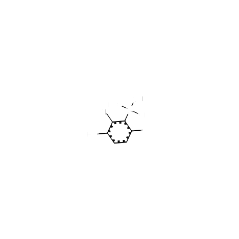 C[Si](C)(C)c1c(Cl)ccc(O)c1Cl